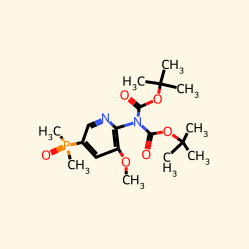 COc1cc(P(C)(C)=O)cnc1N(C(=O)OC(C)(C)C)C(=O)OC(C)(C)C